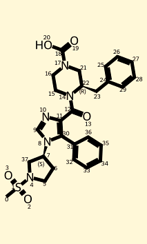 CS(=O)(=O)N1CC[C@H](n2cnc(C(=O)N3CCN(C(=O)O)C[C@H]3Cc3ccccc3)c2-c2ccccc2)C1